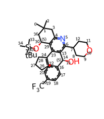 CC1(C)Cc2nc(C3CCOCC3)c([C@@H](O)c3ccc(C(F)(F)F)cc3)c(C3=CCCC3)c2[C@@H](O[Si](C)(C)C(C)(C)C)C1